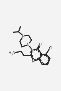 CC(C)N1CCN(n2c(CCN)nc3cccc(Cl)c3c2=O)CC1